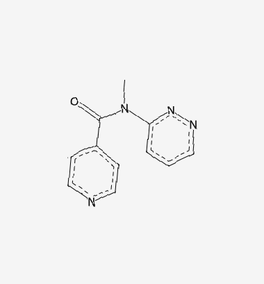 CN(C(=O)c1[c]cncc1)c1cccnn1